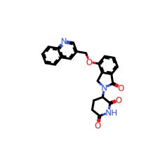 O=C1CCC(N2Cc3c(OCc4cnc5ccccc5c4)cccc3C2=O)C(=O)N1